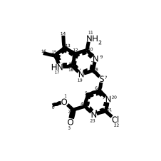 COC(=O)c1cc(Sc2nc(N)c3c(C)c(C)[nH]c3n2)nc(Cl)n1